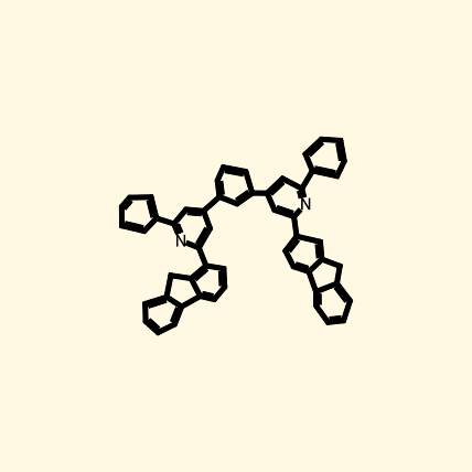 c1ccc(-c2cc(-c3cccc(-c4cc(-c5ccccc5)nc(-c5cccc6c5Cc5ccccc5-6)c4)c3)cc(-c3ccc4c(c3)Cc3ccccc3-4)n2)cc1